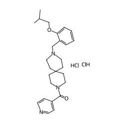 CC(C)COc1ccccc1CN1CCC2(CC1)CCN(C(=O)c1ccncc1)CC2.Cl.Cl